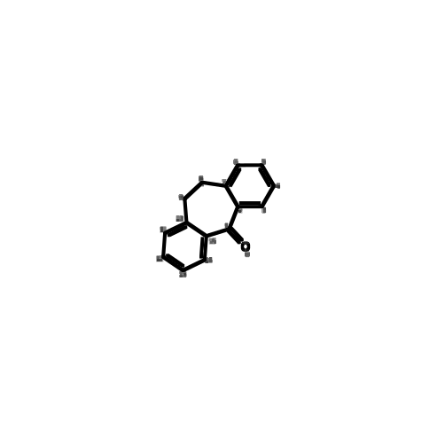 O=C1c2ccccc2[CH]Cc2ccccc21